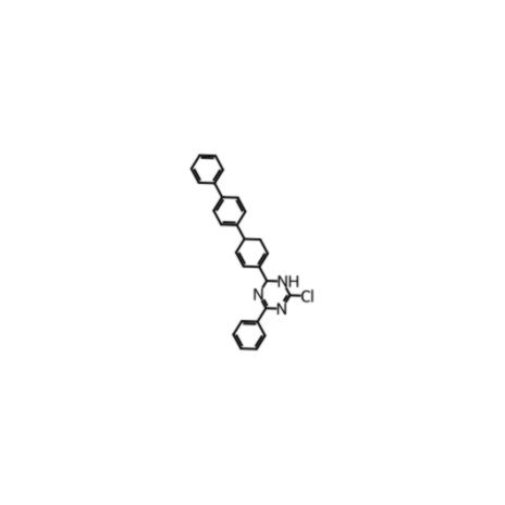 ClC1=NC(c2ccccc2)=NC(C2=CCC(c3ccc(-c4ccccc4)cc3)C=C2)N1